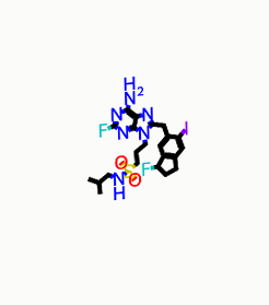 CC(C)CNS(=O)(=O)CCCn1c(Cc2cc3c(cc2I)CCC3F)nc2c(N)nc(F)nc21